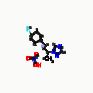 CC(/C=C/c1ccc(F)cc1)n1cncn1.O=[N+]([O-])O